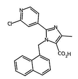 Cc1nc(-c2ccnc(Cl)c2)n(Cc2cccc3ccccc23)c1C(=O)O